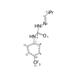 CC(C)/C=N/NC(=O)Nc1ccc(C(F)(F)F)cc1